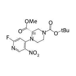 COC(=O)[C@@H]1CN(C(=O)OC(C)(C)C)CCN1c1cc(F)ncc1[N+](=O)[O-]